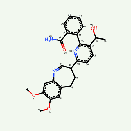 COc1cc2c(cc1OC)N=CC(c1ccc(C(C)O)c(-c3ccccc3C(N)=O)n1)CC2